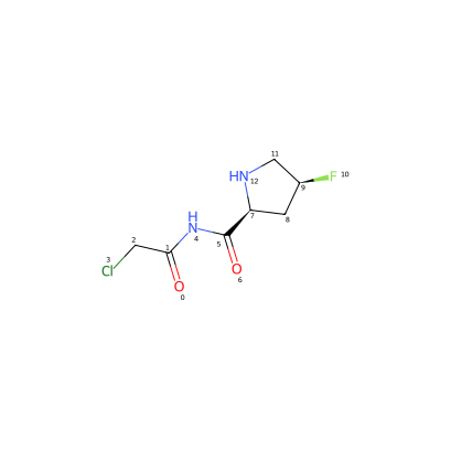 O=C(CCl)NC(=O)[C@@H]1C[C@H](F)CN1